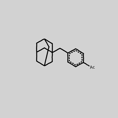 CC(=O)c1ccc(CC23CC4CC(CC(C4)C2)C3)cc1